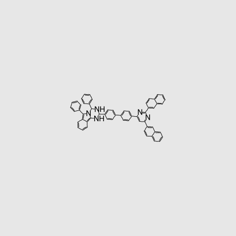 c1ccc(-c2c3ccccc3c3n2C(c2ccccc2)NC(c2ccc(-c4ccc(-c5cc(-c6ccc7ccccc7c6)nc(-c6ccc7ccccc7c6)n5)cc4)cc2)N3)cc1